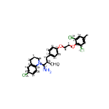 Cc1cc(Cl)c(OCCOc2ccc(CC(C=O)C(N)N3CCCc4cc(Cl)ccc43)cc2)c(Cl)c1